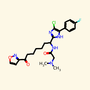 CN(C)CC(=O)NC(CCCCCC(=O)c1ccon1)c1nc(Cl)c(-c2ccc(F)cc2)[nH]1